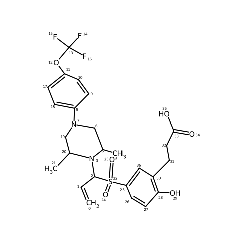 C=CC(N1C(C)CN(c2ccc(OC(F)(F)F)cc2)CC1C)S(=O)(=O)c1ccc(O)c(CCC(=O)O)c1